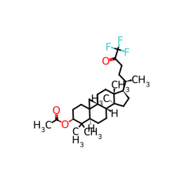 CC(=O)O[C@H]1CCC23C[C@]24CC[C@]2(C)[C@@H]([C@H](C)CCC(=O)C(F)(F)F)CC[C@@]2(C)[C@@H]4CC[C@H]3C1(C)C